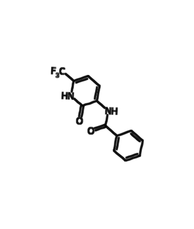 O=C(Nc1ccc(C(F)(F)F)[nH]c1=O)c1ccccc1